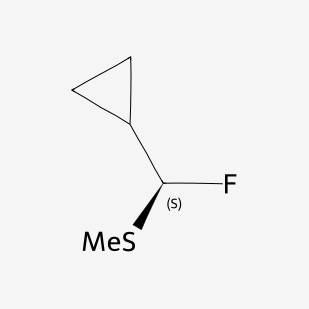 CS[C@H](F)C1CC1